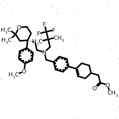 COC(=O)CC1CC=C(c2ccc(CN(CC[C@@]3(c4ccc(OC)cc4)CCOC(C)(C)C3)CC(C)(C)C(F)(F)F)cc2)CC1